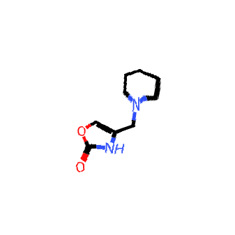 O=c1[nH]c(CN2CCCCC2)co1